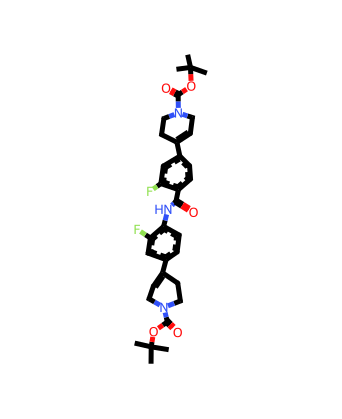 CC(C)(C)OC(=O)N1CC=C(c2ccc(NC(=O)c3ccc(C4=CCN(C(=O)OC(C)(C)C)CC4)cc3F)c(F)c2)CC1